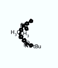 CC(C)(C)c1ccc(-c2nnc(-c3ccc(-c4ccc(CC(C)(C)c5ccc(-c6nnc(-c7ccc(-c8ccccc8)cc7)n6-c6ccccc6)cc5)cc4)cc3)o2)cc1